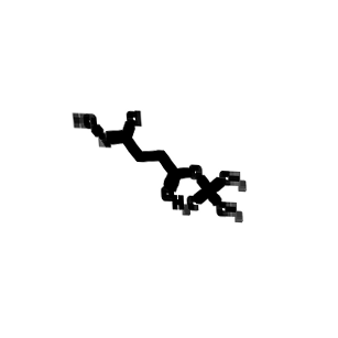 CC(C)(C)OC(=O)CC/C(Cl)=N/O